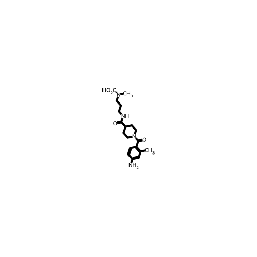 Cc1cc(N)ccc1C(=O)N1CCC(C(=O)NCCCN(C)C(=O)O)CC1